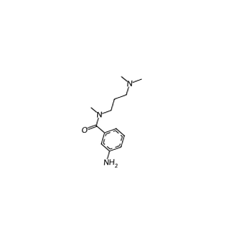 CN(C)CCCN(C)C(=O)c1cccc(N)c1